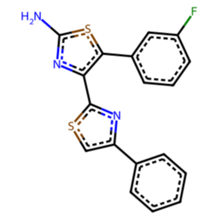 Nc1nc(-c2nc(-c3ccccc3)cs2)c(-c2cccc(F)c2)s1